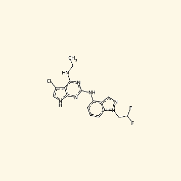 CCNc1nc(Nc2cccc3c2cnn3CC(F)F)nc2[nH]cc(Cl)c12